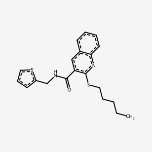 CCCCCSc1nc2ccccc2cc1C(=O)NCc1cccs1